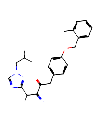 CCC(C(=N)C(=O)Cc1ccc(OCc2ccccc2C)cc1)c1ncn(CC(C)C(=O)O)n1